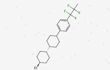 CC[C@H]1CC[C@H](C2CCC(c3ccc(C(F)(F)C(C)(F)F)cc3)CC2)CC1